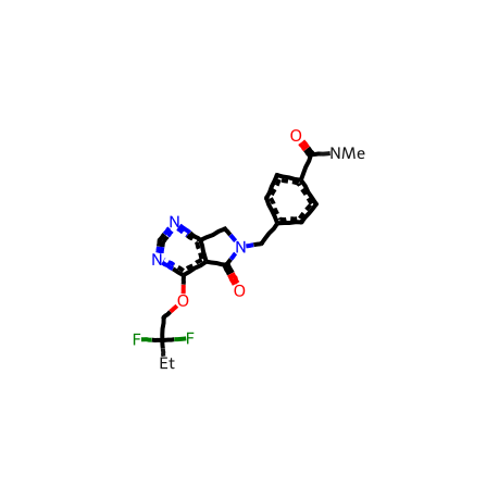 CCC(F)(F)COc1ncnc2c1C(=O)N(Cc1ccc(C(=O)NC)cc1)C2